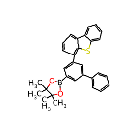 CC1(C)OB(c2cc(-c3ccccc3)cc(-c3cccc4c3sc3ccccc34)c2)OC1(C)C